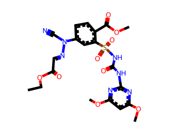 CCOC(=O)C=NN(C#N)c1ccc(C(=O)OC)c(S(=O)(=O)NC(=O)Nc2nc(OC)cc(OC)n2)c1